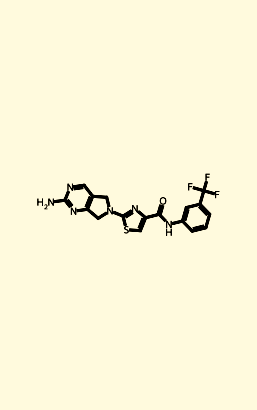 Nc1ncc2c(n1)CN(c1nc(C(=O)Nc3cccc(C(F)(F)F)c3)cs1)C2